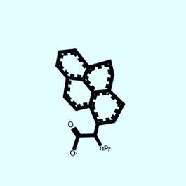 CCCC(C([O])=O)c1ccc2ccc3cccc4ccc1c2c34